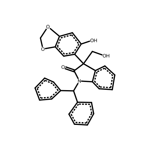 O=C1N(C(c2ccccc2)c2ccccc2)c2ccccc2C1(CO)c1cc2c(cc1O)OCO2